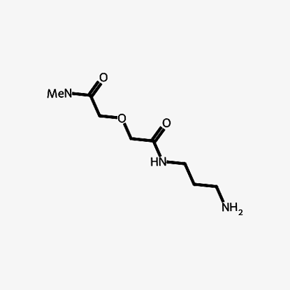 CNC(=O)COCC(=O)NCCCN